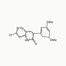 COC1=CC(OC)CC(c2cc3cnc(Cl)cc3[nH]c2=O)=C1